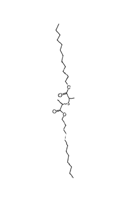 CCCCCCCCCCCCOC(=O)C(C)SC(C)C(=O)OCCCCCCCCCCCC